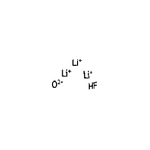 F.[Li+].[Li+].[Li+].[O-2]